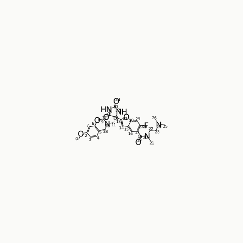 COc1ccc2c(c1)OCN(C[C@@]1(c3cc4cc(C(=O)N(C)CCN(C)C)c(F)cc4o3)NC(=O)NC1=O)C2